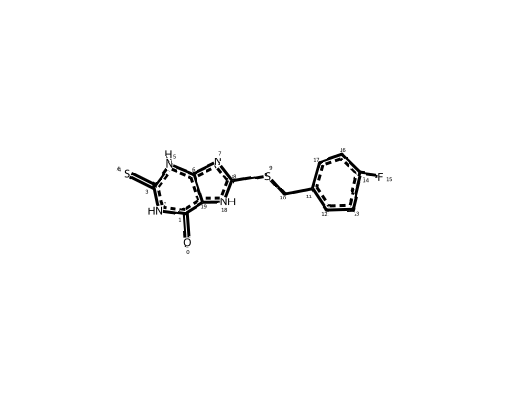 O=c1[nH]c(=S)[nH]c2nc(SCc3ccc(F)cc3)[nH]c12